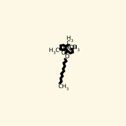 CCCCCCCCCCCCOC(=O)C1(C2CC(C)CCC2C(C)C)CCC(=O)N1